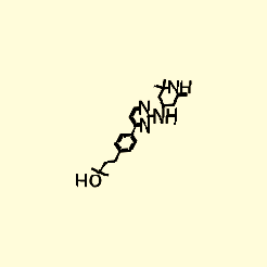 C=C1CC(Nc2nccc(-c3ccc(CCC(C)(C)O)cc3)n2)CC(C)(C)N1